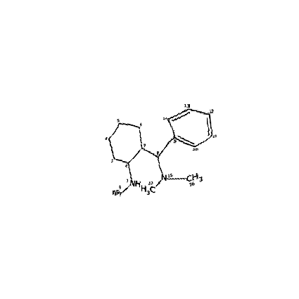 CCCNC1CCCCC1C(c1ccccc1)N(C)C